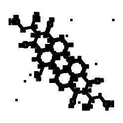 CCC(CO)N1C(=O)c2ccc3c4ccc5c6c(cc(Br)c(c7ccc(c2c37)C1=O)c64)C(=O)N(C(CC)CO)C5=O